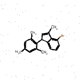 CC1=CC(c2c(C)cc(C)cc2C)c2cccc(Br)c21